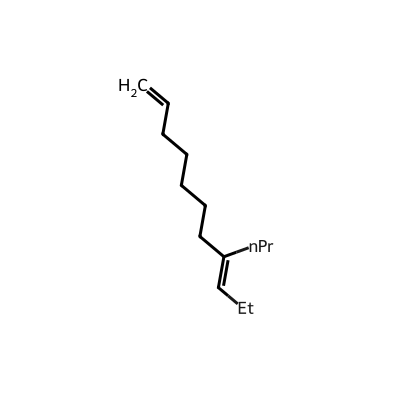 C=CCCCCC/C(=C/CC)CCC